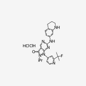 CC(C)n1c(=O)c2cnc(Nc3ccc4c(c3)NCCC4)nc2n1-c1ccnc(C(C)(C)F)c1.Cl.Cl